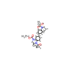 CCOC(=O)N1C[C@H](C)N(C(C)=O)c2ccc(-c3ccc4c(c3)CCCN4S(C)(=O)=O)cc21